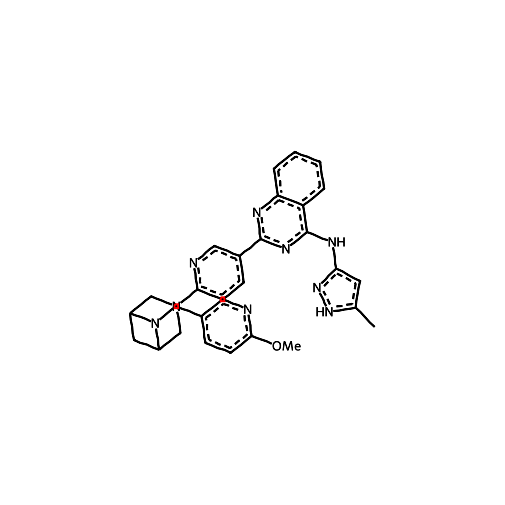 COc1ccc(CN2C3CC2CN(c2ccc(-c4nc(Nc5cc(C)[nH]n5)c5ccccc5n4)cn2)C3)cn1